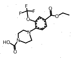 CCOC(=O)c1ccc(N2CCN(C(=O)O)CC2)c(OC(F)(F)F)c1